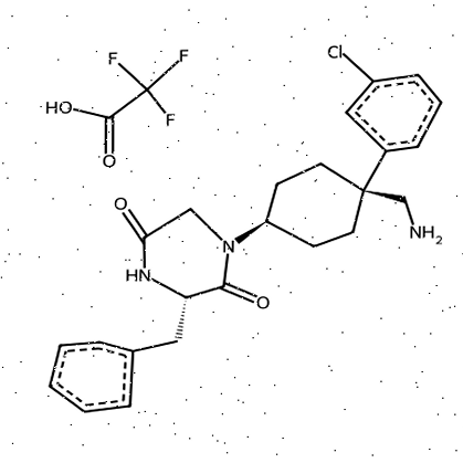 NC[C@]1(c2cccc(Cl)c2)CC[C@H](N2CC(=O)N[C@@H](Cc3ccccc3)C2=O)CC1.O=C(O)C(F)(F)F